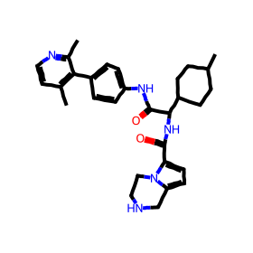 Cc1ccnc(C)c1-c1ccc(NC(=O)C(NC(=O)c2ccc3n2CCNC3)C2CCC(C)CC2)cc1